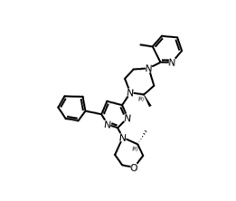 Cc1cccnc1N1CCN(c2cc(-c3ccccc3)nc(N3CCOC[C@H]3C)n2)[C@H](C)C1